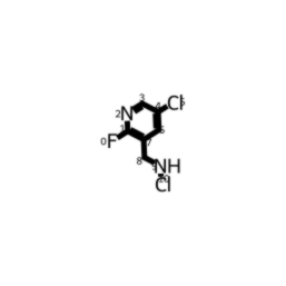 Fc1ncc(Cl)cc1CNCl